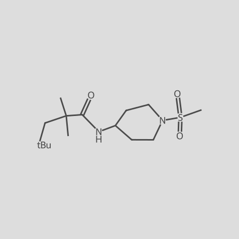 CC(C)(C)CC(C)(C)C(=O)NC1CCN(S(C)(=O)=O)CC1